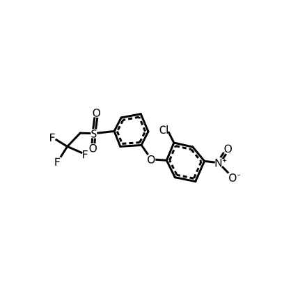 O=[N+]([O-])c1ccc(Oc2cccc(S(=O)(=O)CC(F)(F)F)c2)c(Cl)c1